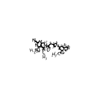 COc1cc(N2CC(CC(=O)N3Cc4nc(C#N)nc(OC)c4C3C)C2)cc(C(F)(F)F)n1